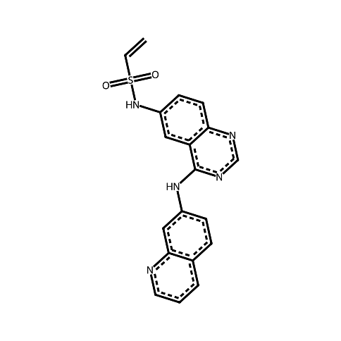 C=CS(=O)(=O)Nc1ccc2ncnc(Nc3ccc4cccnc4c3)c2c1